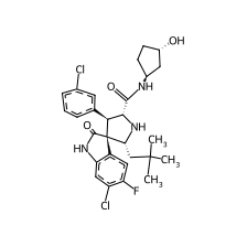 CC(C)(C)C[C@H]1N[C@@H](C(=O)N[C@H]2CC[C@H](O)C2)[C@H](c2cccc(Cl)c2)[C@@]12C(=O)Nc1cc(Cl)c(F)cc12